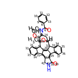 CO[C@@H]1[C@H](N(C)C(=O)c2ccccc2)C[C@H]2O[C@]1(C)C1c3ccccc3-c3c4c(c5c(c31)C2c1ccccc1-5)C(=O)NC4